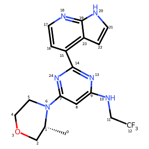 C[C@@H]1COCCN1c1cc(NCC(F)(F)F)nc(-c2ccnc3[nH]ccc23)n1